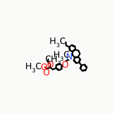 CCCc1ccc2c(c1)C(N(C)CCOc1ccc(CC(OCC)C(=O)OCC)cc1)c1ccc(-c3ccccc3)cc1CC2